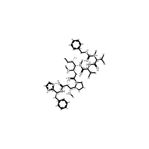 CC[C@H](C)[C@@H]([C@@H](CC(=O)N1CCC[C@H]1[C@H](OC)[C@@H](C)C(=O)N[C@@H](Cc1ccccc1)c1nccs1)OC)N(C)C(=O)[C@@H](NC(=O)[C@H](C(C)C)N(C)C(=O)OCc1ccccc1)C(C)C